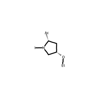 CCO[C@H]1C[C@@H](C(C)=O)N(I)C1